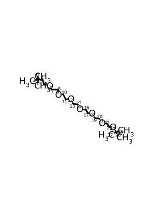 CC(C)(C)CCOCCOCCOCCOCCOCCOCCOC(C)(C)C